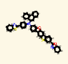 c1ccc2c(c1)cc(N(c1ccc(-c3nc4ccccc4s3)cc1)c1ccc3c(c1)oc1cc4c(cc13)sc1cc(-c3nc5ccccc5o3)ccc14)c1ccccc12